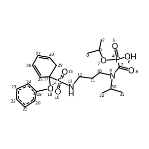 CC(C)OP(=O)(O)C(=O)N(CCCNS(=O)(=O)C1(Oc2ccccc2)C=CC=CC1)C(C)C